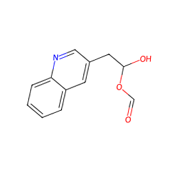 O=COC(O)Cc1cnc2ccccc2c1